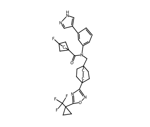 O=C(N(CC12CCC(c3noc(C4(C(F)(F)F)CC4)n3)(CC1)CC2)c1cccc(-c2cn[nH]c2)c1)C12CC(F)(C1)C2